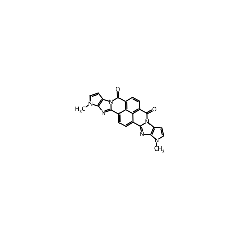 Cn1ccc2c1nc1c3ccc4c5c(ccc(c(=O)n21)c35)c(=O)n1c2ccn(C)c2nc41